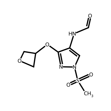 CS(=O)(=O)n1cc(NC=O)c(OC2COC2)n1